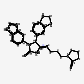 O=C1CCCN1CCC/N=C1\NC(=S)N(c2ccc3[nH]cnc3c2)C1c1ccc2c(c1)OCO2